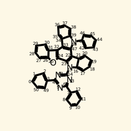 c1ccc(-c2nc(-c3ccccc3)nc(-n3c4ccccc4c4c3c3oc5ccccc5c3c3c5ccccc5n(-c5ccccc5)c34)n2)cc1